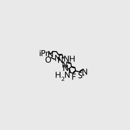 CC(C)N1CCc2cc(Nc3cc4cc(-c5cncs5)c(F)c(N)c4nn3)nn2CC1=O